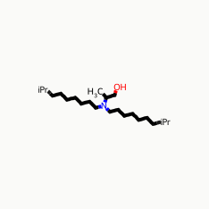 CC(C)CCCCCCCN(CCCCCCCC(C)C)C(C)CO